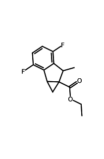 CCOC(=O)C12CC1c1c(F)ccc(F)c1C2C